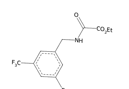 CCOC(=O)C(=O)NCc1cc(F)cc(C(F)(F)F)c1